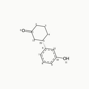 O=C1CCC[C@H](c2cccc(O)c2)C1